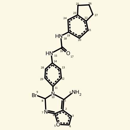 NC1=c2ccoc2=NC(Br)N1c1ccc(NC(=O)Nc2ccc3c(c2)CCC3)cc1